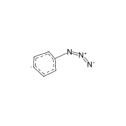 [N-]=[N+]=Nc1cc[c]cc1